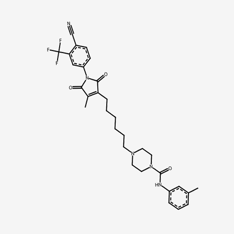 CC1=C(CCCCCCN2CCN(C(=O)Nc3cccc(C)c3)CC2)C(=O)N(c2ccc(C#N)c(C(F)(F)F)c2)C1=O